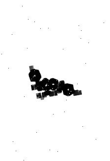 CC(O)[C@H]1C2=CNN(c3ccc(F)cc3)C2=CC2=C1CN(S(=O)(=O)c1ccc(C(C)(C)C)cc1)CC2